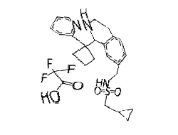 O=C(O)C(F)(F)F.O=S(=O)(CC1CC1)NCc1ccc2c(c1)C(C1(c3ccccn3)CCC1)NCC2